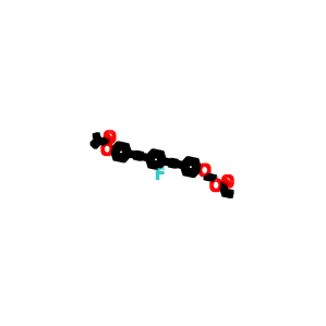 C=CC(=O)OCCOc1ccc(C#Cc2ccc(C#Cc3ccc(OC(=O)C(=C)C)cc3)cc2F)cc1